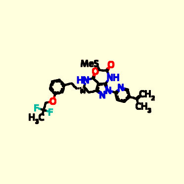 C=C(C)c1ccc(-n2nc3c(c2NC(=O)CSC)C(=O)N[C@@H](CCc2cccc(OCC(C)(F)F)c2)C3)nc1